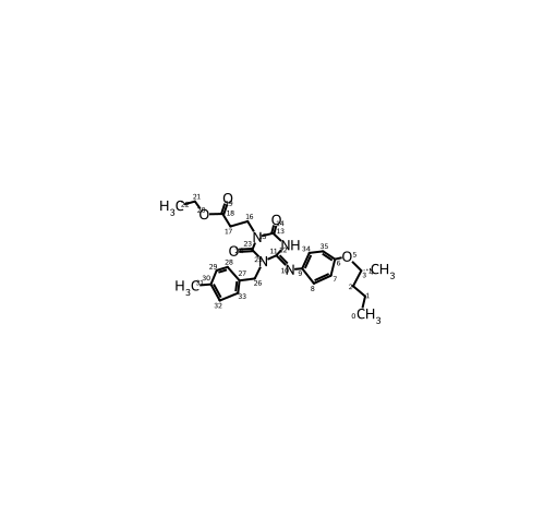 CCC[C@@H](C)Oc1ccc(/N=c2\[nH]c(=O)n(CCC(=O)OCC)c(=O)n2Cc2ccc(C)cc2)cc1